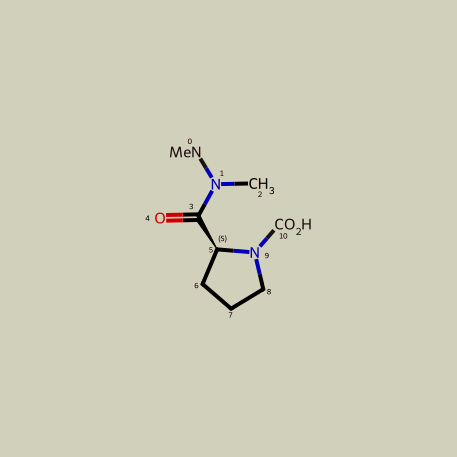 CNN(C)C(=O)[C@@H]1CCCN1C(=O)O